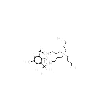 CCCC[N+](CCCC)(CCCC)CCCC.Cc1cc(C(C)(C)C)c(O)c(C(C)(C)C)c1.[Br-]